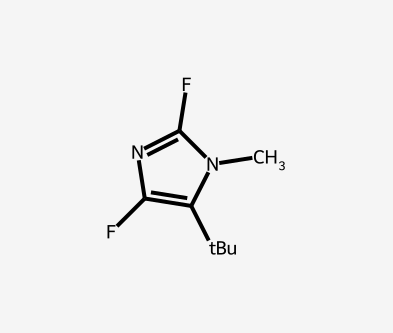 Cn1c(F)nc(F)c1C(C)(C)C